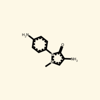 Cn1cc(N)c(=O)n1-c1ccc(N)cc1